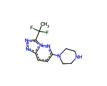 CC(F)(F)c1nnc2ccc(N3CCNCC3)nn12